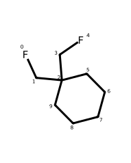 FCC1(CF)CCCCC1